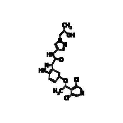 CC(O)Cn1cc(NC(=O)c2n[nH]c3ccc(OC(C)c4c(Cl)cncc4Cl)cc23)cn1